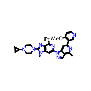 COc1ccncc1-c1cc2c(cnn2-c2cc3c(nc(N4CCN(C5CC5)CC4)n3C)c(C(C)C)n2)c(C)n1